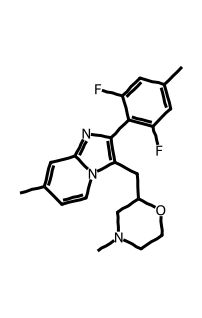 Cc1cc(F)c(-c2nc3cc(C)ccn3c2CC2CN(C)CCO2)c(F)c1